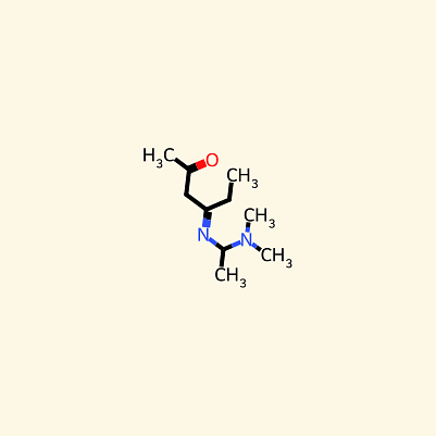 CC/C(CC(C)=O)=N\C(C)N(C)C